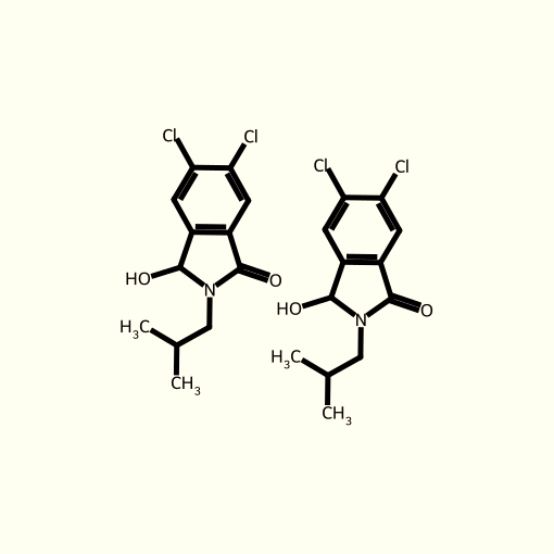 CC(C)CN1C(=O)c2cc(Cl)c(Cl)cc2C1O.CC(C)CN1C(=O)c2cc(Cl)c(Cl)cc2C1O